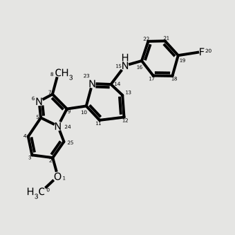 COc1ccc2nc(C)c(-c3cccc(Nc4ccc(F)cc4)n3)n2c1